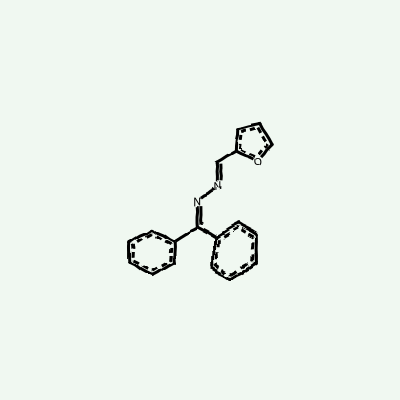 C(=NN=C(c1ccccc1)c1ccccc1)c1ccco1